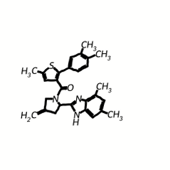 C=C1CC(c2nc3c(C)cc(C)cc3[nH]2)N(C(=O)c2cc(C)sc2-c2ccc(C)c(C)c2)C1